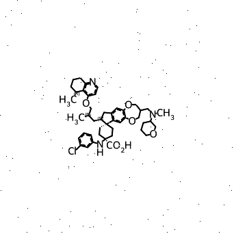 C[C@@H](COc1ccnc2c1[C@H](C)CCC2)C[C@H]1Cc2cc3c(cc2[C@]12CC[C@@](Nc1cccc(Cl)c1)(C(=O)O)CC2)OCC(CN(C)C1CCCOC1)CO3